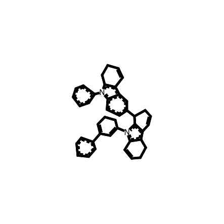 C1=Cc2c(c3c(n2C2=CC(c4ccccc4)=CCC2)C(c2ccc4c(c2)c2c(n4-c4ccccc4)CCC=C2)CC=C3)CC1